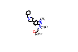 CNC(=O)CCN(C=O)c1nn(C)c2cc(C3CCN(CC4CCCCC4)CC3)ccc12